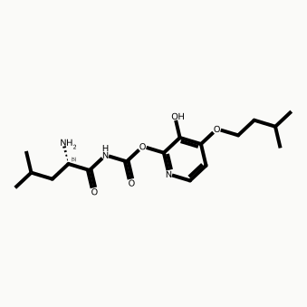 CC(C)CCOc1ccnc(OC(=O)NC(=O)[C@@H](N)CC(C)C)c1O